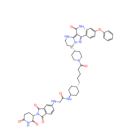 NC(=O)c1c(-c2ccc(Oc3ccccc3)cc2)nn2c1NCC[C@H]2C1CCN(C(=O)CCCC[C@H]2CC[C@H](NC(=O)CNc3ccc4c(c3)C(=O)N(C3CCC(=O)NC3=O)C4=O)CC2)CC1